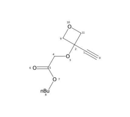 C#CC1(OCC(=O)OCCCC)COC1